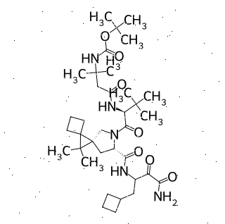 CC(C)(CC(=O)N[C@H](C(=O)N1C[C@]2(C[C@H]1C(=O)NC(CC1CCC1)C(=O)C(N)=O)C(C)(C)C21CCC1)C(C)(C)C)NC(=O)OC(C)(C)C